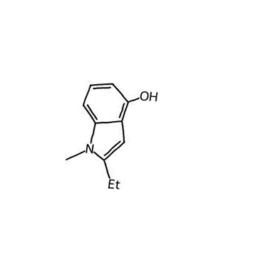 CCc1cc2c(O)cccc2n1C